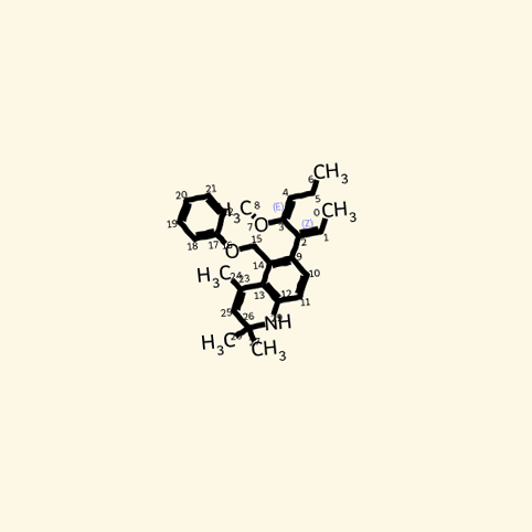 C/C=C(\C(=C/CC)OC)c1ccc2c(c1COc1ccccc1)C(C)=CC(C)(C)N2